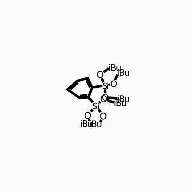 CCC(C)O[Si](OC(C)CC)(OC(C)CC)c1ccccc1[Si](OC(C)CC)(OC(C)CC)OC(C)CC